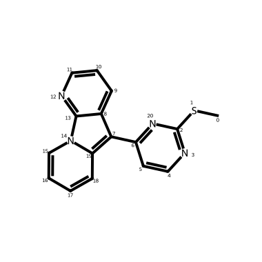 CSc1nccc(-c2c3cccnc3n3ccccc23)n1